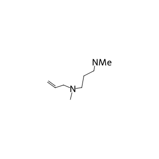 C=CCN(C)CCCNC